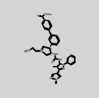 COCCN1C[C@@H](NC(=O)Nc2c(C)c(-c3cnn(C)c3)nn2-c2ccccc2)[C@H](c2cccc(-c3ccc(C(=O)OC)cc3)c2)C1